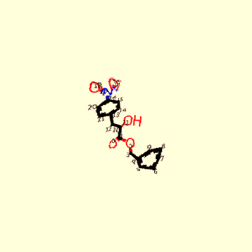 O=C(OCc1ccccc1)[C@@H](O)Cc1ccc([N+](=O)[O-])cc1